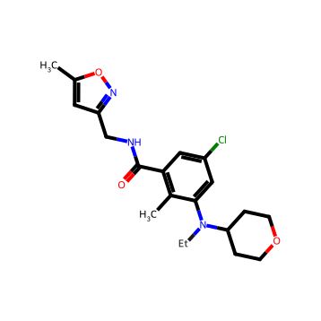 CCN(c1cc(Cl)cc(C(=O)NCc2cc(C)on2)c1C)C1CCOCC1